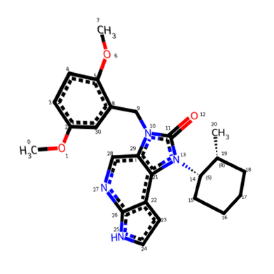 COc1ccc(OC)c(Cn2c(=O)n([C@H]3CCCC[C@H]3C)c3c4cc[nH]c4ncc32)c1